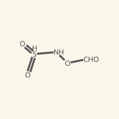 O=CON[SH](=O)=O